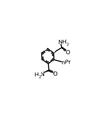 CCCc1c(C(N)=O)cccc1C(N)=O